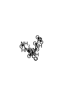 NC(=O)CCCNC(=O)CNC(=O)C(CC1C=CC=CC1)NC(=O)CNC(=O)CNC(=O)CCN1C(=O)C=CC1=O